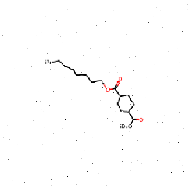 CC(C)CCCCCCCOC(=O)C1CCC(C(=O)OCC(C)C)CC1